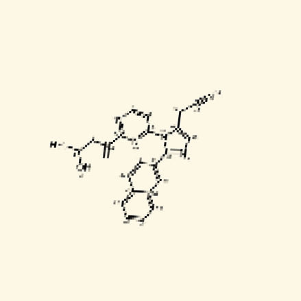 CC(O)CNc1nccc(-n2c(CC#N)cnc2-c2ccc3ccccc3c2)n1